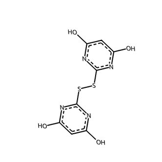 Oc1cc(O)nc(SSc2nc(O)cc(O)n2)n1